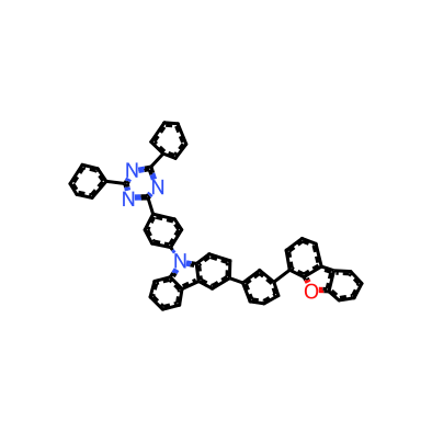 c1ccc(-c2nc(-c3ccccc3)nc(-c3ccc(-n4c5ccccc5c5cc(-c6cccc(-c7cccc8c7oc7ccccc78)c6)ccc54)cc3)n2)cc1